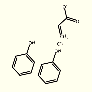 C=CC(=O)[O-].Oc1ccccc1.Oc1ccccc1.[C+]